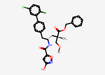 CCOC[C@](C)(C[C@@H](Cc1ccc(-c2cc(Cl)ccc2F)cc1)NC(=O)c1cc(O)no1)C(=O)OCc1ccccc1